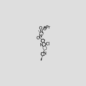 C#Cc1ccc(C2CCc3c(nc4cc(C(=O)N5CCN(C(=O)OCCC)[C@H](C)C5)ccc4c3Cl)C2)nc1